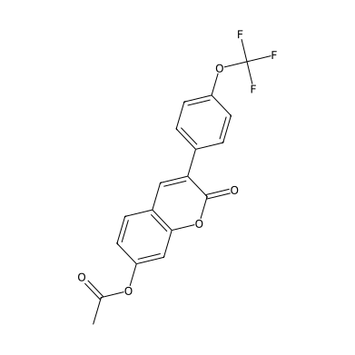 CC(=O)Oc1ccc2cc(-c3ccc(OC(F)(F)F)cc3)c(=O)oc2c1